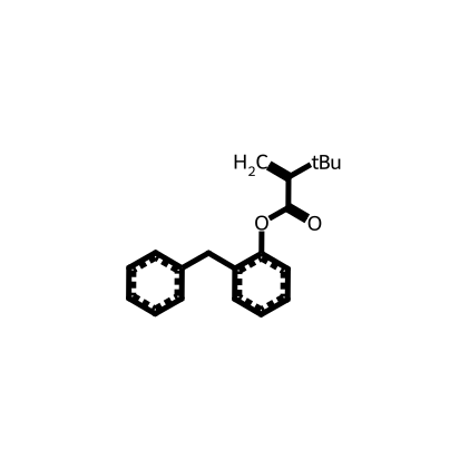 C=C(C(=O)Oc1ccccc1Cc1ccccc1)C(C)(C)C